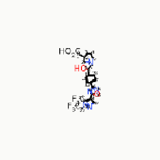 O=C(O)CC1CCCN(CC(O)c2ccc(-c3noc(-c4cnn(CC(F)(F)F)c4C(F)(F)F)n3)cc2)C1